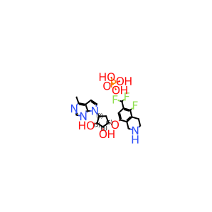 Cc1ncnc2c1ccn2[C@@H]1C[C@H](Oc2cc(C(F)F)c(F)c3c2CNCC3)[C@@H](O)[C@H]1O.O=P(O)(O)O